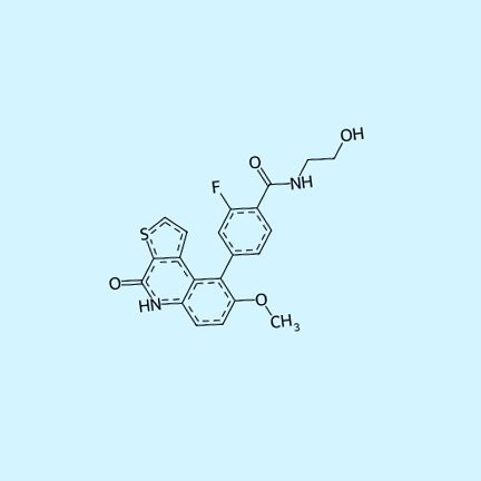 COc1ccc2[nH]c(=O)c3sccc3c2c1-c1ccc(C(=O)NCCO)c(F)c1